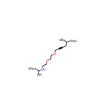 CCCCCCC(CC#CCOCCOCCNC(CCC)CCCCC)CCCC